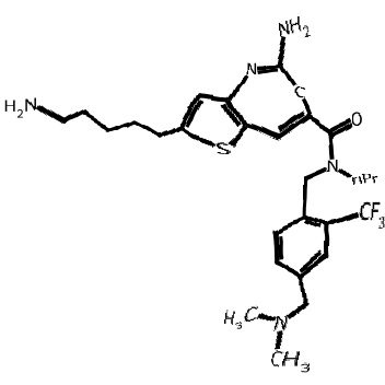 CCCN(Cc1ccc(CN(C)C)cc1C(F)(F)F)C(=O)C1=Cc2sc(CCCCCN)cc2N=C(N)C1